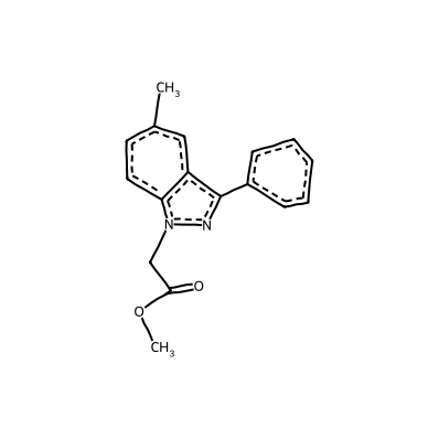 COC(=O)Cn1nc(-c2ccccc2)c2cc(C)ccc21